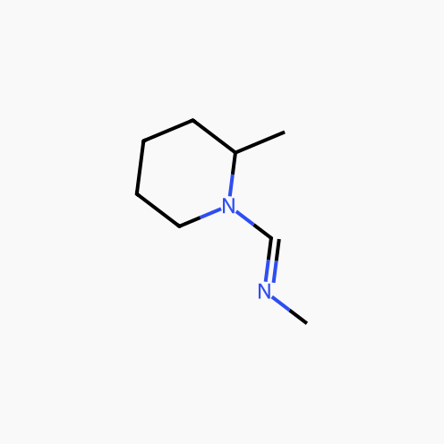 C/N=C/N1CCCCC1C